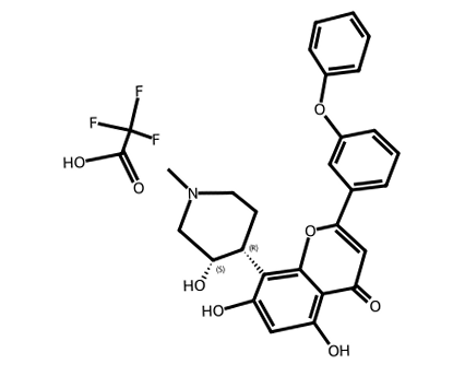 CN1CC[C@H](c2c(O)cc(O)c3c(=O)cc(-c4cccc(Oc5ccccc5)c4)oc23)[C@H](O)C1.O=C(O)C(F)(F)F